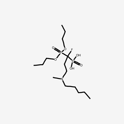 CCCCCN(C)CCC(F)(P(=O)(O)O)P(=O)(OCCC)OCCC